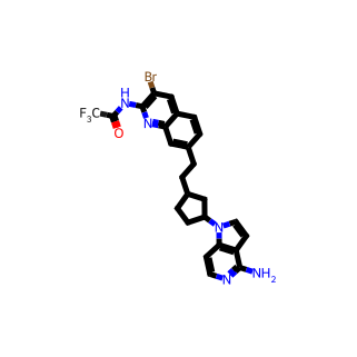 Nc1nccc2c1ccn2C1CCC(CCc2ccc3cc(Br)c(NC(=O)C(F)(F)F)nc3c2)C1